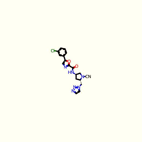 N#CN1C[C@H](NC(=O)c2ncc(-c3cccc(Cl)c3)o2)C[C@H]1Cn1ccnn1